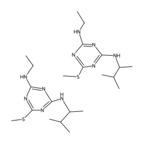 CCNc1nc(NC(C)C(C)C)nc(SC)n1.CCNc1nc(NC(C)C(C)C)nc(SC)n1